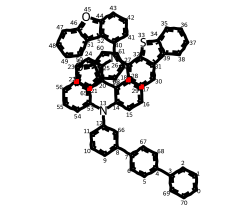 c1ccc(-c2ccc(-c3cccc(N(c4ccccc4-c4ccccc4N(c4cccc5c4sc4ccccc45)c4cccc5oc6ccccc6c45)c4cccc5oc6ccccc6c45)c3)cc2)cc1